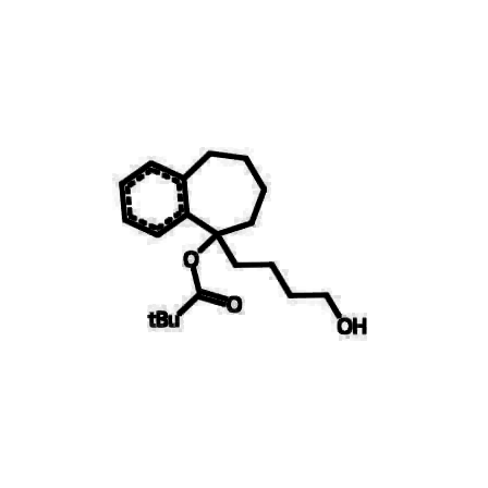 CC(C)(C)C(=O)OC1(CCCCO)CCCCc2ccccc21